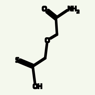 NC(=O)COCC(O)=S